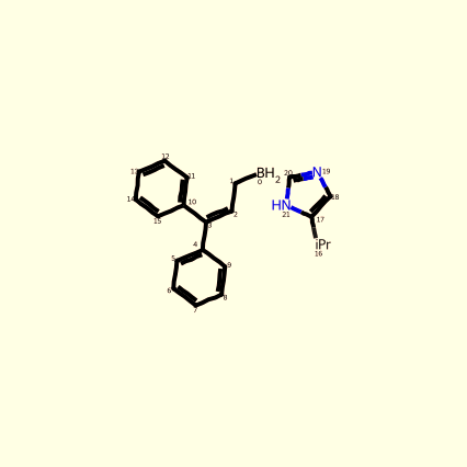 BCC=C(c1ccccc1)c1ccccc1.CC(C)c1cnc[nH]1